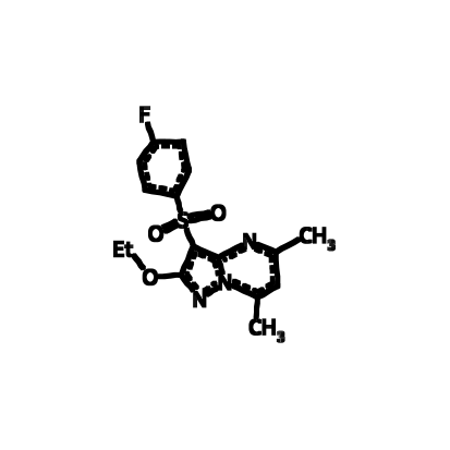 CCOc1nn2c(C)cc(C)nc2c1S(=O)(=O)c1ccc(F)cc1